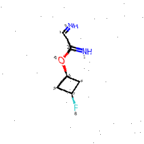 N=CC(=N)O[C@H]1C[C@@H](F)C1